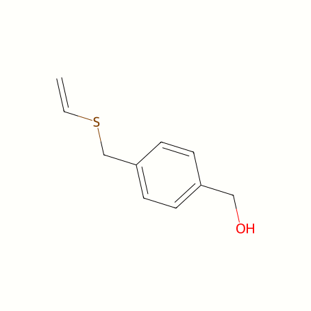 C=CSCc1ccc(CO)cc1